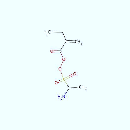 C=C(CC)C(=O)OOS(=O)(=O)C(C)N